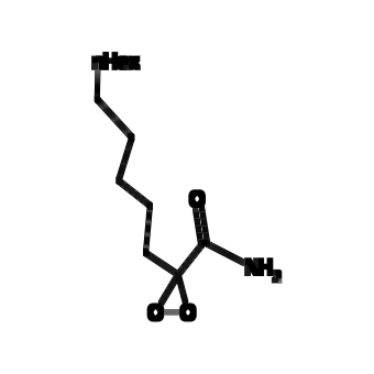 CCCCCCCCCCCC1(C(N)=O)OO1